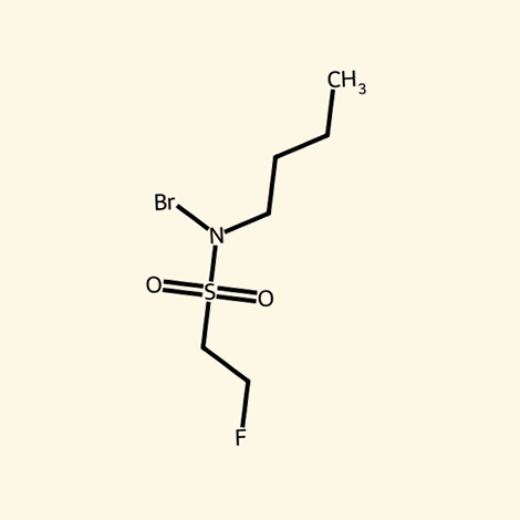 CCCCN(Br)S(=O)(=O)CCF